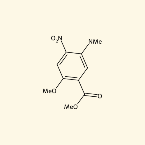 CNc1cc(C(=O)OC)c(OC)cc1[N+](=O)[O-]